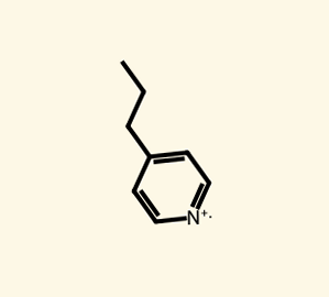 CCCC1=CC=[N+]C=C1